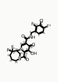 O=C(NCc1ccc(F)c(Cl)c1F)c1cn2c(c(O)c1=O)C(=O)N1CCCC(F)(F)C2C1